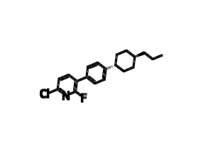 CCC[C@H]1CC[C@H](c2ccc(-c3ccc(Cl)nc3F)cc2)CC1